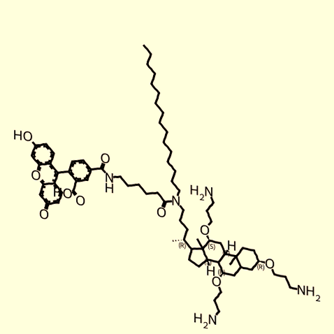 CCCCCCCCCCCCCCCCN(CCC[C@@H](C)C1CC[C@H]2C3[C@H](OCCCN)CC4C[C@H](OCCCN)CCC4(C)[C@H]3C[C@H](OCCCN)C12C)C(=O)CCCCCNC(=O)c1ccc(-c2c3ccc(=O)cc-3oc3cc(O)ccc23)c(C(=O)O)c1